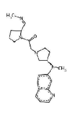 C/N=C\C1CCCN1C(=O)CN1CC[C@@H](N(C)c2ccc3cccnc3c2)C1